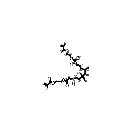 C=C(C)C(=O)OCCOC(=O)CNCCC(C)(C)CC(C)CCNC(=O)OCCOC(=O)C(=C)C